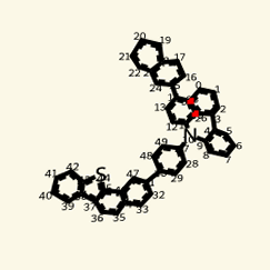 c1ccc(-c2ccccc2N(c2ccc(-c3ccc4ccccc4c3)cc2)c2ccc(-c3ccc4ccc5c6ccccc6sc5c4c3)cc2)cc1